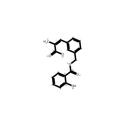 C/C(=C/c1cccc(COC(=O)c2ccccc2O)c1)C(=O)Cl